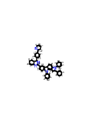 c1ccc(-c2cc3c(ccc4c5cc(-c6nc(-c7ccc(-c8ccccn8)cc7)c7ccccc7n6)ccc5n(-c5ccccc5)c43)n2-c2ccccc2)cc1